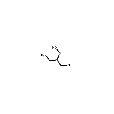 CCN(CC)SO